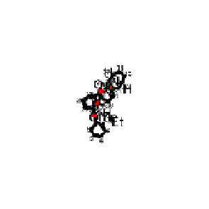 CCOc1ccccc1CNC(=O)c1ccc(N2[C@@H]3CC[C@H]2C[C@@H](NC(=O)c2cccc(OC)c2C)C3)nc1